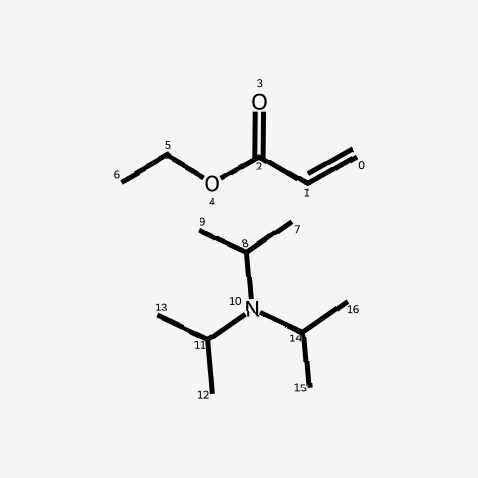 C=CC(=O)OCC.CC(C)N(C(C)C)C(C)C